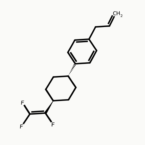 C=CCc1ccc([C@H]2CC[C@H](C(F)=C(F)F)CC2)cc1